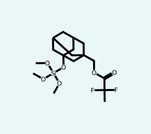 CO[Si](OC)(OC)OC12CC3CC(CC(COC(=O)C(C)(F)F)(C3)C1)C2